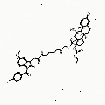 CCOC(=O)OC1(C(=O)OCNCCCCNC(=O)Cc2c(C)n(C(=O)c3ccc(Cl)cc3)c3ccc(OC)cc23)CCC2[C@H]3CCC4=CC(=O)C=C[C@@]4(C)C3[C@H](O)C[C@]21C